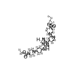 CCCCS(=O)(=O)N1CCCN(c2cc(-n3nc(Nc4ccc(N5CCN(C(=O)OCC)CC5)cc4)nc3N)ccn2)CC1